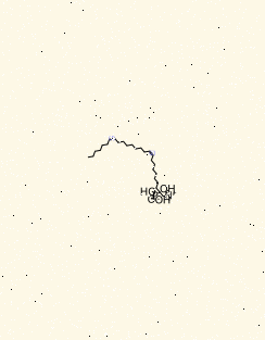 CCCCCC/C=C\CCCCCCC/C=C\CCCCCCCC(O)(C[N+](C)(C)C)P(=O)(O)O